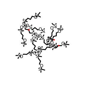 C[Si](C)(C)OCCC[Si](C)(C)O[Si](CCC[Si](C)(C)O[Si](C)(O[Si](C)(C)CCC[Si](O[Si](C)(C)CCCO[Si](C)(C)C)(O[Si](C)(C)CCCO[Si](C)(C)C)O[Si](C)(C)CCCO[Si](C)(C)C)O[Si](C)(C)CCC[Si](O[Si](C)(C)CCCO[Si](C)(C)C)(O[Si](C)(C)CCCO[Si](C)(C)C)O[Si](C)(C)CCCO[Si](C)(C)C)(O[Si](C)(C)CCCO[Si](C)(C)C)O[Si](C)(C)CCCO[Si](C)(C)C